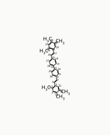 Cc1cc(C)c(C=Cc2ccc(-c3ccc(C=Cc4cc(C)c(C)cc4C)cc3)cc2)cc1C